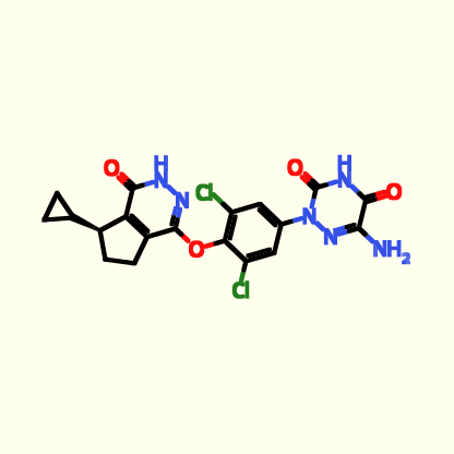 Nc1nn(-c2cc(Cl)c(Oc3n[nH]c(=O)c4c3CC[C@H]4C3CC3)c(Cl)c2)c(=O)[nH]c1=O